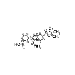 CC(C)(C)OC(=O)c1ccn2c(CN)c(-c3cccc(C(=O)O)c3)nc2c1